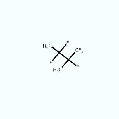 CC(F)(F)C(C)(F)C(F)(F)F